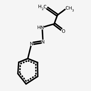 C=C(C)C(=O)NN=Nc1ccccc1